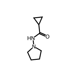 O=C(NN1CCCC1)C1CC1